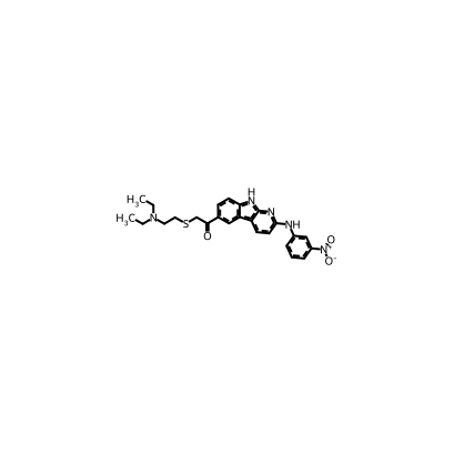 CCN(CC)CCSCC(=O)c1ccc2[nH]c3nc(Nc4cccc([N+](=O)[O-])c4)ccc3c2c1